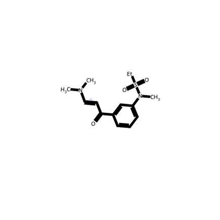 CCS(=O)(=O)N(C)c1cccc(C(=O)/C=C/N(C)C)c1